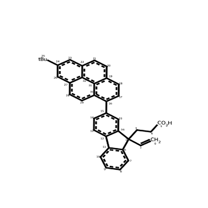 C=CC1(CCC(=O)O)c2ccccc2-c2ccc(-c3ccc4ccc5cc(C(C)(C)C)cc6ccc3c4c56)cc21